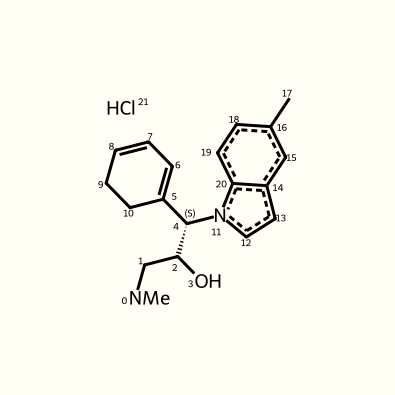 CNCC(O)[C@H](C1=CC=CCC1)n1ccc2cc(C)ccc21.Cl